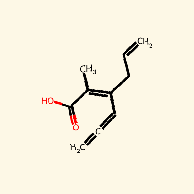 C=C=CC(CC=C)=C(C)C(=O)O